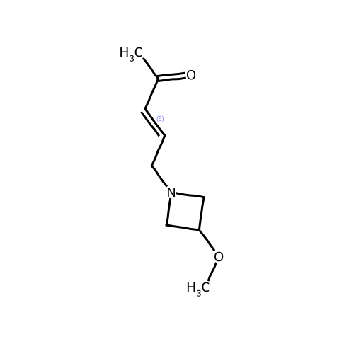 COC1CN(C/C=C/C(C)=O)C1